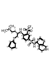 CN(C)CC[C@H](CSc1ccccc1)Nc1ccc(S(=O)(=O)Nc2ncnc3c2CCNC3)cc1S(=O)(=O)C(F)(F)F